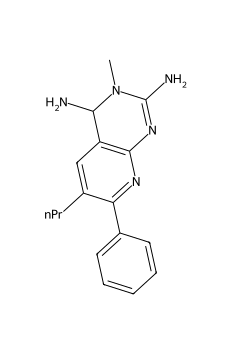 CCCc1cc2c(nc1-c1ccccc1)N=C(N)N(C)C2N